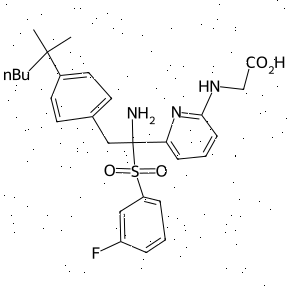 CCCCC(C)(C)c1ccc(CC(N)(c2cccc(NCC(=O)O)n2)S(=O)(=O)c2cccc(F)c2)cc1